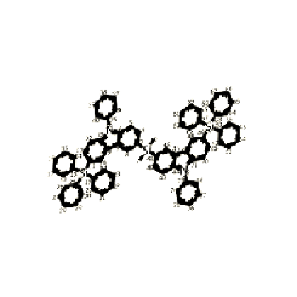 C[Si](C)(c1ccc2c(c1)c1cc([Si](c3ccccc3)(c3ccccc3)c3ccccc3)ccc1n2-c1ccccc1)c1ccc2c(c1)c1cc([Si](c3ccccc3)(c3ccccc3)c3ccccc3)ccc1n2-c1ccccc1